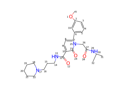 COc1cccc(-c2ccc(C(=O)NCCCN3CCCCC3)c(=O)n2CC(=O)NC(C)C)c1